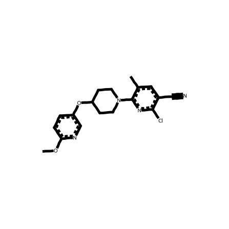 COc1ccc(OC2CCN(c3nc(Cl)c(C#N)cc3C)CC2)cn1